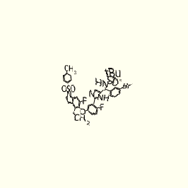 C=Cc1c(Oc2ccc(F)c(-c3ncc(C(N[S@+]([O-])C(C)(C)C)c4cccc(Br)c4)[nH]3)c2)c(F)cc2c1ccn2S(=O)(=O)c1ccc(C)cc1